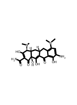 CN(C)c1cc(N)c(O)c2c1C[C@H]1C[C@H]3[C@H](N(C)C)C(O)=C(C(N)=O)C(=O)[C@@]3(O)C(O)=C1C2=O